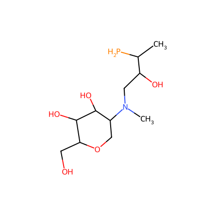 CC(P)C(O)CN(C)C1COC(CO)C(O)C1O